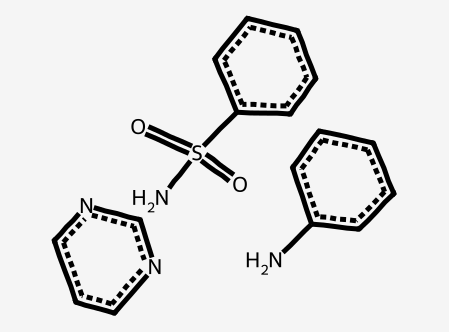 NS(=O)(=O)c1ccccc1.Nc1ccccc1.c1cncnc1